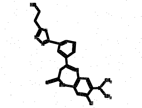 CN(C)c1cc2c(cc1Cl)NC(=O)CC(c1cccc(-c3nnc(CCO)s3)c1)=N2